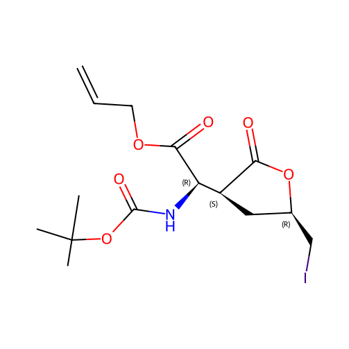 C=CCOC(=O)[C@H](NC(=O)OC(C)(C)C)[C@@H]1C[C@H](CI)OC1=O